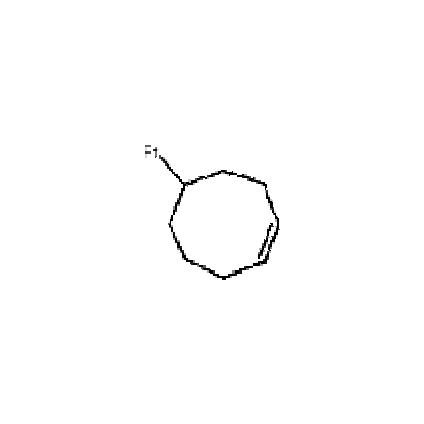 CCC1CCC=CCCC1